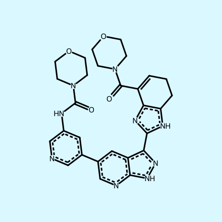 O=C(Nc1cncc(-c2cnc3[nH]nc(-c4nc5c([nH]4)CCC=C5C(=O)N4CCOCC4)c3c2)c1)N1CCOCC1